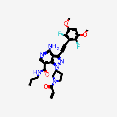 C=CC(=O)N1CCC(n2nc(C#Cc3c(F)c(OC)cc(OC)c3F)c3c(N)ncc(C(=O)NCCC)c32)C1